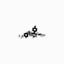 Cc1ccc(-c2c(NS(=O)(=O)c3ccc(C(F)(F)F)cc3)ncnc2OCCO)cc1